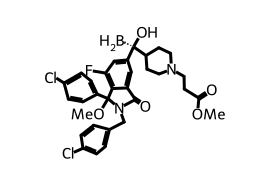 B[C@@](O)(c1cc(F)c2c(c1)C(=O)N(Cc1ccc(Cl)cc1)C2(OC)c1ccc(Cl)cc1)C1CCN(CCC(=O)OC)CC1